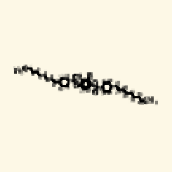 CCCCCCCCC[C@H]1CC[C@H](C(=O)Oc2ccc(OC(=O)[C@H]3CC[C@H](CCCCCCCCC)CC3)c(F)c2F)CC1